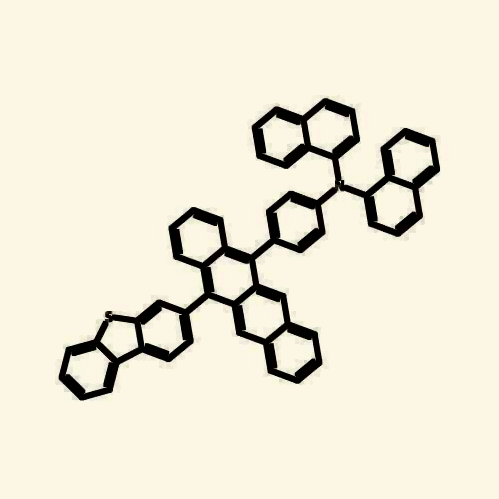 c1ccc2cc3c(-c4ccc5c(c4)sc4ccccc45)c4ccccc4c(-c4ccc(N(c5cccc6ccccc56)c5cccc6ccccc56)cc4)c3cc2c1